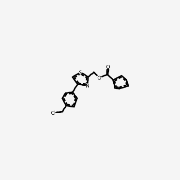 O=C(OCc1nc(-c2ccc(CCl)cc2)cs1)c1ccccc1